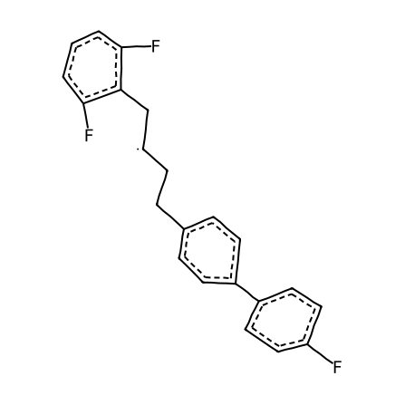 Fc1ccc(-c2ccc(CC[CH]Cc3c(F)cccc3F)cc2)cc1